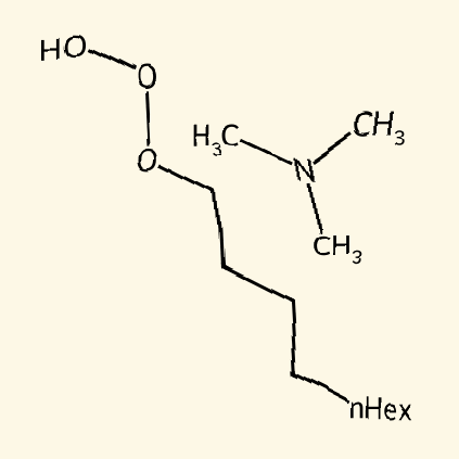 CCCCCCCCCCOOO.CN(C)C